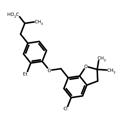 CCc1cc(CC(C)C(=O)O)ccc1OCc1cc(Cl)cc2c1OC(C)(C)C2